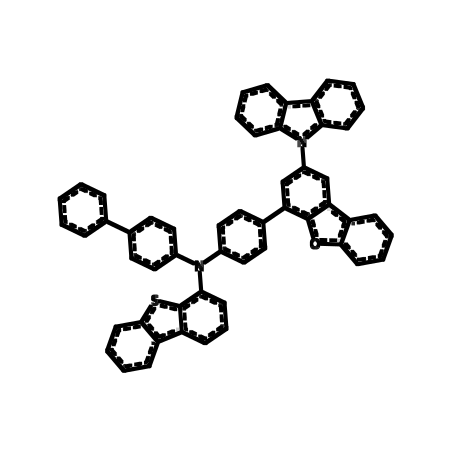 c1ccc(-c2ccc(N(c3ccc(-c4cc(-n5c6ccccc6c6ccccc65)cc5c4oc4ccccc45)cc3)c3cccc4c3sc3ccccc34)cc2)cc1